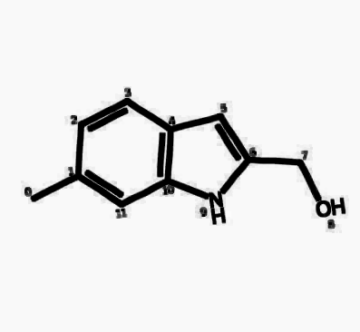 Cc1ccc2cc(CO)[nH]c2c1